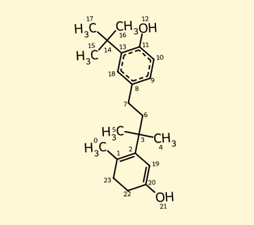 CC1=C(C(C)(C)CCc2ccc(O)c(C(C)(C)C)c2)C=C(O)CC1